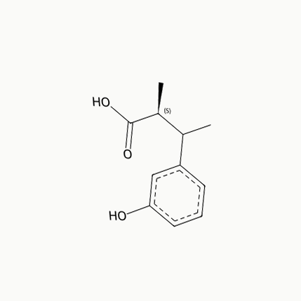 CC(c1cccc(O)c1)[C@H](C)C(=O)O